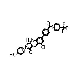 Nc1cc(-c2ccc(C(=O)N3CCC(C(F)(F)F)CC3)cc2)cc(Cl)c1C[C@@H]1CCN(N2CCC(O)CC2)C1=O